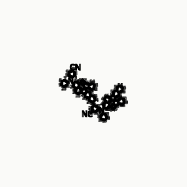 N#Cc1ccc(N(c2ccccc2)c2ccc3c4c(ccc3c2)-c2cc3cc(-c5cc(C#N)cc(N(c6ccccc6)c6ccc7c8c(ccc7c6)-c6cc7ccccc7cc6C86c7ccccc7-c7ccccc76)c5)ccc3cc2C42c3ccccc3-c3ccccc32)cc1